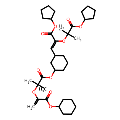 C=C(OC(C)(C)C(=O)OC1CCCC(/C=C(\OC(C)(C)C(=O)OC2CCCC2)C(=O)OC2CCCC2)C1)C(=O)OC1CCCCC1